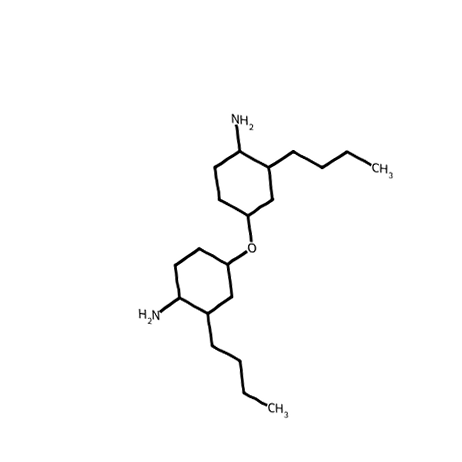 CCCCC1CC(OC2CCC(N)C(CCCC)C2)CCC1N